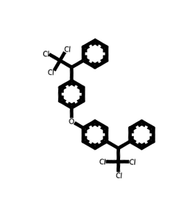 ClC(Cl)(Cl)C(c1ccccc1)c1ccc(Oc2ccc(C(c3ccccc3)C(Cl)(Cl)Cl)cc2)cc1